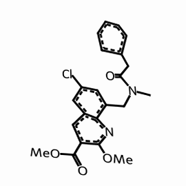 COC(=O)c1cc2cc(Cl)cc(CN(C)C(=O)Cc3ccccc3)c2nc1OC